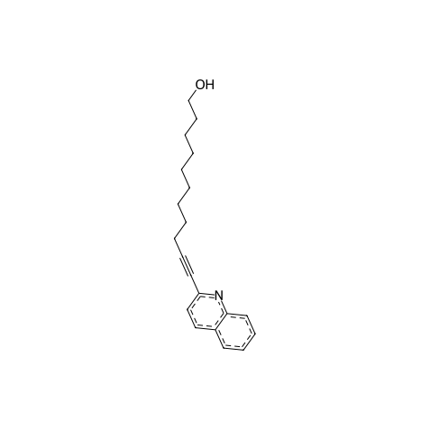 OCCCCCCCCCC#Cc1ccc2ccccc2n1